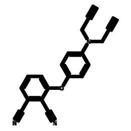 C#CCN(CC#C)c1ccc(Oc2cccc(C#N)c2C#N)cc1